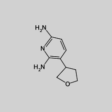 Nc1ccc(C2CCOC2)c(N)n1